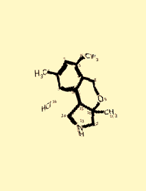 Cc1cc2c(c(C(F)(F)F)c1)COC1(C)CNCC21.Cl